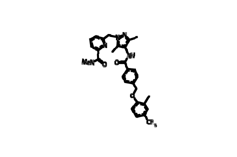 CNC(=O)c1cccc(Cn2nc(C)c(NC(=O)c3ccc(COc4ccc(C(F)(F)F)cc4C)cc3)c2C)n1